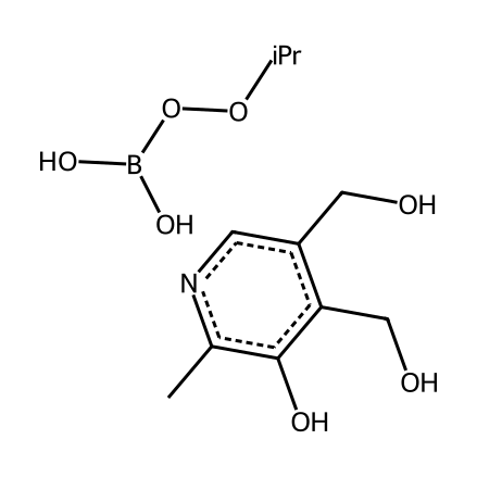 CC(C)OOB(O)O.Cc1ncc(CO)c(CO)c1O